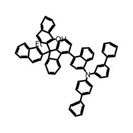 CCc1c(C2(c3ccc4ccccc4c3O)c3ccccc3-c3c(-c4ccc(N(c5ccc(-c6ccccc6)cc5)c5cccc(-c6ccccc6)c5)c5ccccc45)cccc32)ccc2ccccc12